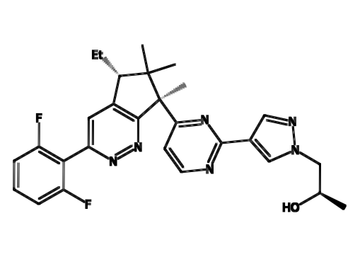 CC[C@H]1c2cc(-c3c(F)cccc3F)nnc2[C@](C)(c2ccnc(-c3cnn(C[C@@H](C)O)c3)n2)C1(C)C